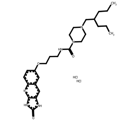 CCCC(CCC)CN1CCN(C(=O)NCCCOc2ccc3nc4[nH]c(=O)[nH]c4cc3c2)CC1.Cl.Cl